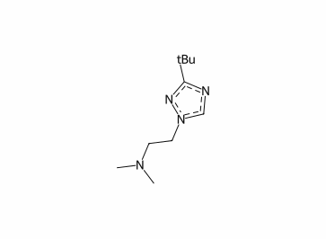 CN(C)CCn1cnc(C(C)(C)C)n1